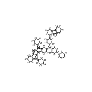 c1ccc(-c2ccc(N(c3ccc(-c4cccc5c4oc4ccccc45)cc3)c3ccc4c(c3)n(-c3ccccc3)c3nc5c6ccccc6n(-c6ccccc6)c5n43)cc2)cc1